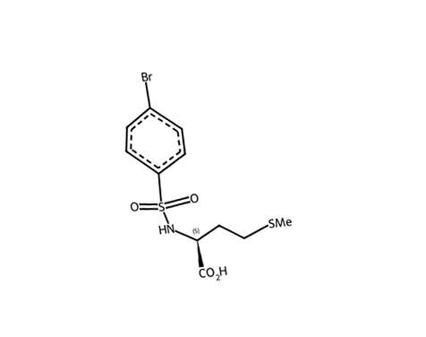 CSCC[C@H](NS(=O)(=O)c1ccc(Br)cc1)C(=O)O